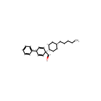 CCCCC[C@H]1CC[C@H](C2(C=O)C=CC(c3ccccc3)C=C2)CC1